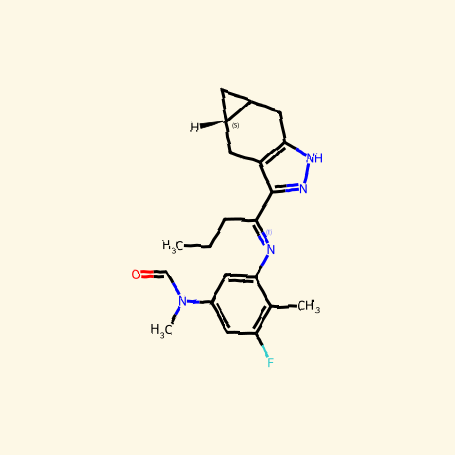 CCC/C(=N\c1cc(N(C)C=O)cc(F)c1C)c1n[nH]c2c1C[C@@H]1CC1C2